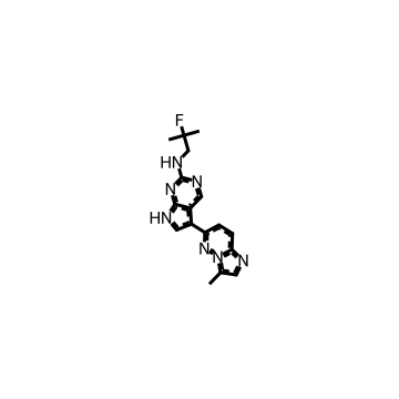 Cc1cnc2ccc(-c3c[nH]c4nc(NCC(C)(C)F)ncc34)nn12